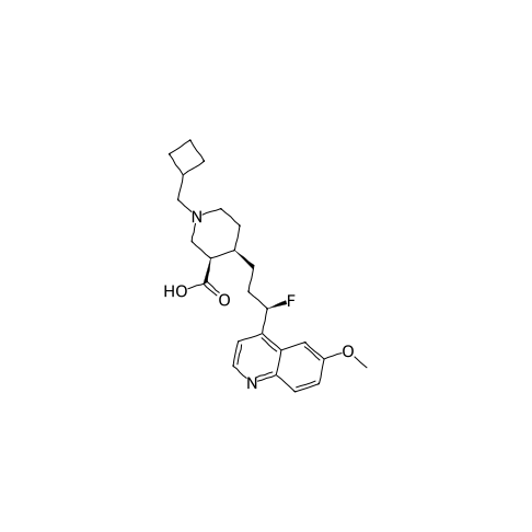 COc1ccc2nccc([C@H](F)CC[C@@H]3CCN(CC4CCC4)C[C@@H]3C(=O)O)c2c1